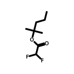 CCCC(C)(C)OC(=O)C(F)F